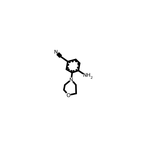 N#Cc1ccc(N)c(N2CCOCC2)c1